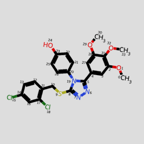 COc1cc(-c2nnc(SCc3ccc(Cl)cc3Cl)n2-c2ccc(O)cc2)cc(OC)c1OC